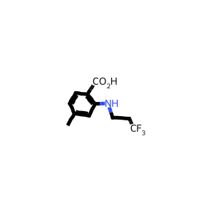 Cc1ccc(C(=O)O)c(NCCC(F)(F)F)c1